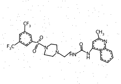 Cc1cc(NC(=O)NCCN2CCN(S(=O)(=O)c3cc(C(F)(F)F)cc(C(F)(F)F)c3)CC2)c2ccccc2n1